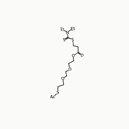 CCN(CC)C(=S)SCCC(=O)OCCOCCOCCSC(C)=O